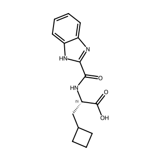 O=C(N[C@@H](CC1CCC1)C(=O)O)c1nc2ccccc2[nH]1